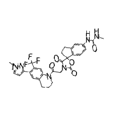 CNC(=O)Nc1ccc2c(c1)CCC21OC(=O)N(CC(=O)N2CCCc3cc(-c4ccn(C)n4)c(C(F)(F)F)cc32)C1=O